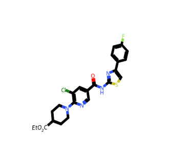 CCOC(=O)C1CCN(c2ncc(C(=O)Nc3nc(-c4ccc(F)cc4)cs3)cc2Cl)CC1